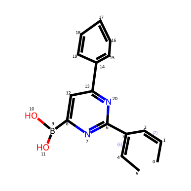 C/C=C\C(=C/C)c1nc(B(O)O)cc(-c2ccccc2)n1